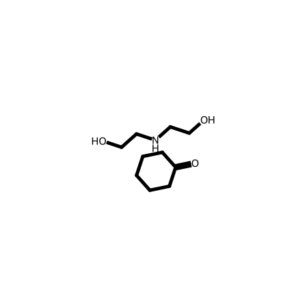 O=C1CCCCC1.OCCNCCO